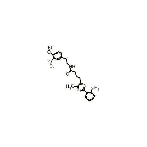 CCOc1ccc(CCNC(=O)CCCc2nc(-c3ccccc3C)oc2C)cc1OCC